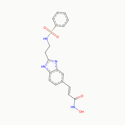 O=C(/C=C/c1ccc2[nH]c(CCNS(=O)(=O)c3ccccc3)nc2c1)NO